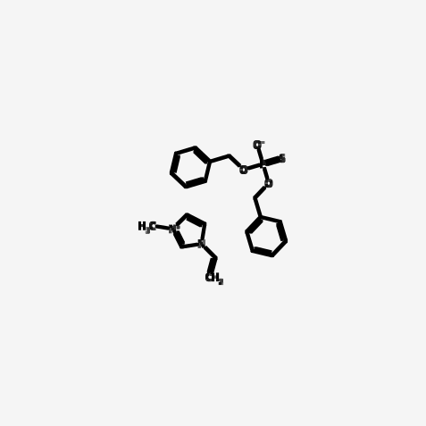 C=Cn1cc[n+](C)c1.[O-]P(=S)(OCc1ccccc1)OCc1ccccc1